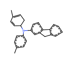 CC1=CCC(N(c2ccc(C)cc2)c2ccc3c(c2)Cc2ccccc2-3)C=C1